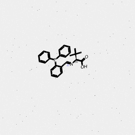 CC(C)(C)[C@H](/N=C/c1ccccc1P(c1ccccc1)c1ccccc1)C(=O)O